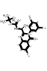 C[C@H](NC(=O)OC(C)(C)C)c1nc2ccc(F)cc2c(=O)n1-c1cc(F)cc(F)c1